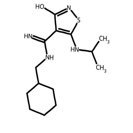 CC(C)Nc1snc(O)c1C(=N)NCC1CCCCC1